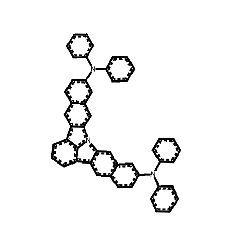 c1ccc(N(c2ccccc2)c2ccc3cc4c5cccc6c7cc8ccc(N(c9ccccc9)c9ccccc9)cc8cc7n(c4cc3c2)c56)cc1